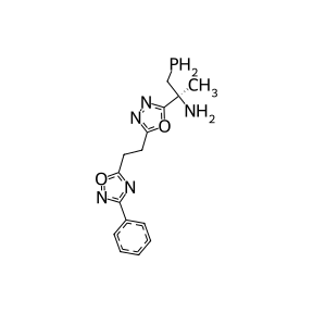 C[C@@](N)(CP)c1nnc(CCc2nc(-c3ccccc3)no2)o1